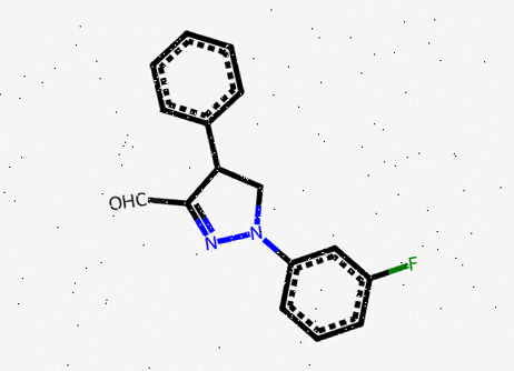 O=CC1=NN(c2cccc(F)c2)CC1c1ccccc1